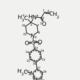 C=CC(=O)NC1(C)CCN(S(=O)(=O)c2ccc(-c3ccnn3C)cc2)CC1